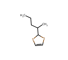 CCC[C](C)C1SC=CS1